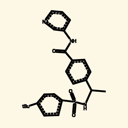 CC(NS(=O)(=O)c1ccc(C(C)(C)C)cc1)c1ccc(C(=O)Nc2cccnc2)cc1